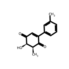 Cc1cccc(C2=CC(=O)[C@H](O)[C@H](C)C2=O)c1